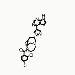 N#CCC(CN1CCCN(C(=O)c2ccc(Cl)cc2Cl)CC1)n1cc(-c2ncnc3[nH]ccc23)cn1